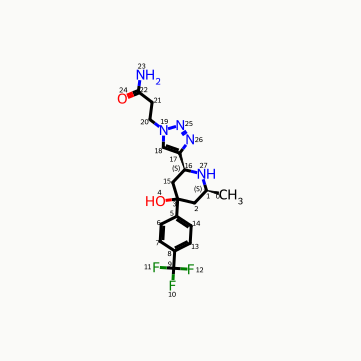 C[C@H]1CC(O)(c2ccc(C(F)(F)F)cc2)C[C@@H](c2cn(CCC(N)=O)nn2)N1